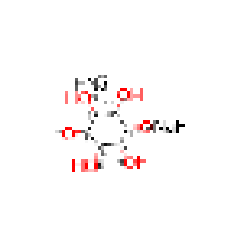 O=C1C(O)=C(O)C(=O)C(O)=C1O.[NaH].[NaH]